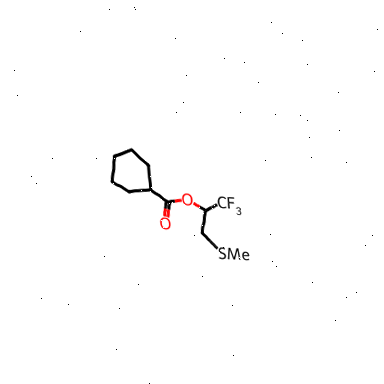 CSCC(OC(=O)C1CCCCC1)C(F)(F)F